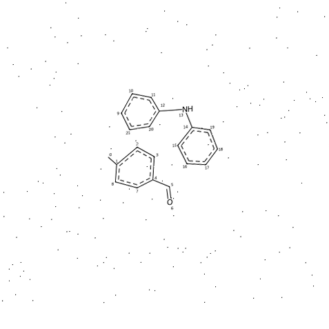 Cc1ccc(C=O)cc1.c1ccc(Nc2ccccc2)cc1